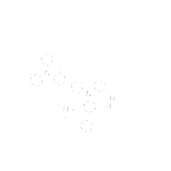 CC1(C)c2ccccc2-c2cc3c(cc21)N(c1ccc(-c2ccc4c(c2)Sc2ccccc2N4c2ccccc2)cc1)c1ccccc1C3(C)C